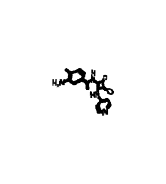 Cc1ccc(C(C)Nc2c(Nc3ccncc3)c(=O)c2=O)cc1N